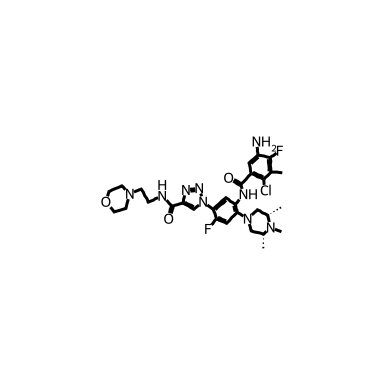 Cc1c(F)c(N)cc(C(=O)Nc2cc(-n3cc(C(=O)NCCN4CCOCC4)nn3)c(F)cc2N2C[C@@H](C)N(C)[C@@H](C)C2)c1Cl